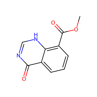 COC(=O)c1cccc2c(=O)nc[nH]c12